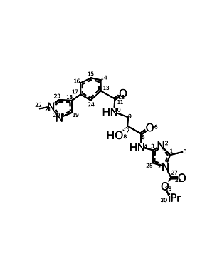 Cc1nc(NC(=O)[C@H](O)CNC(=O)c2cccc(-c3cnn(C)c3)c2)cn1C(=O)OC(C)C